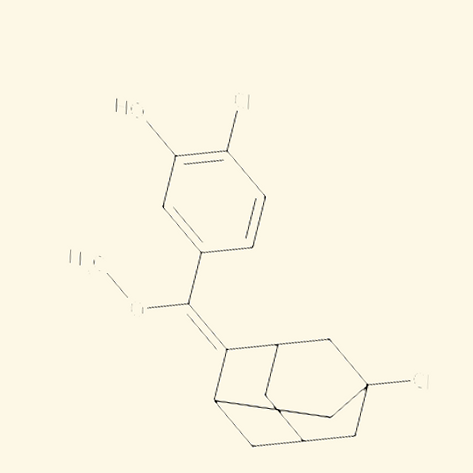 COC(=C1C2CC3CC1CC(Cl)(C3)C2)c1ccc(Cl)c(O)c1